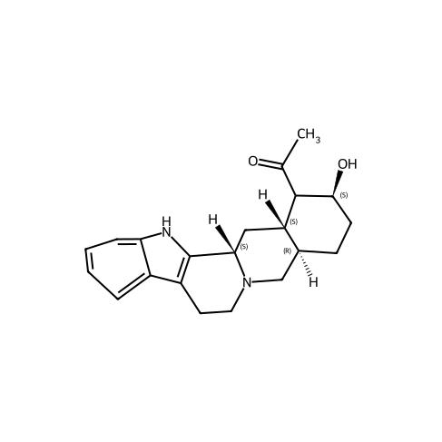 CC(=O)C1[C@H]2C[C@H]3c4[nH]c5ccccc5c4CCN3C[C@@H]2CC[C@@H]1O